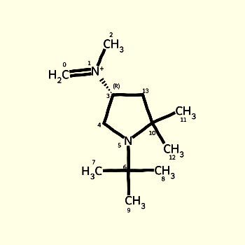 C=[N+](C)[C@H]1CN(C(C)(C)C)C(C)(C)C1